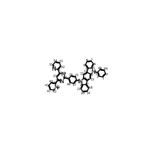 c1ccc(-n2c3ccccc3c3cc4c(cc32)c2ccccc2n4-c2ccc(-c3nc(-c4ccccn4)cc(-c4ccccn4)n3)cc2)cc1